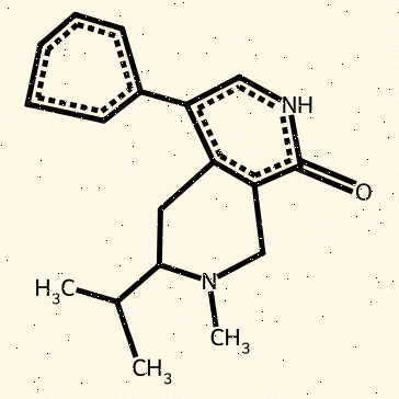 CC(C)C1Cc2c(-c3ccccc3)c[nH]c(=O)c2CN1C